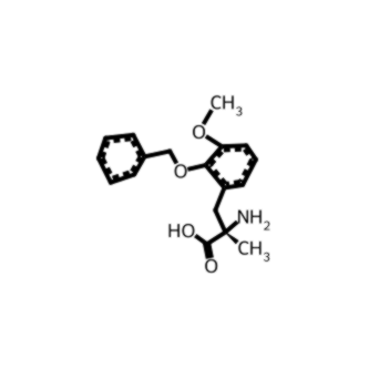 COc1cccc(C[C@](C)(N)C(=O)O)c1OCc1ccccc1